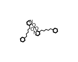 O=C(Oc1ncccc1CCCCCc1ccccc1)Oc1ncccc1CCCCCc1ccccc1